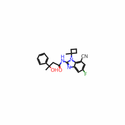 CC(O)(CC(=O)Nc1nc2cc(F)cc(C#N)c2n1C1(C)CCC1)c1ccccc1